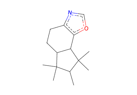 CC1C(C)(C)C2CCc3ncoc3C2C1(C)C